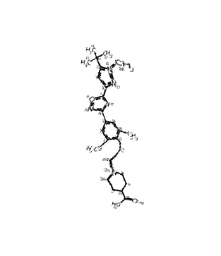 Cc1cc(-c2noc(-c3cc(C(C)(C)C)n(C)n3)n2)cc(C)c1CCN1CCC(C(=O)O)CC1